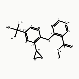 C=C(NC)c1cnccc1Cc1ccc(C(F)(F)F)cc1C1CC1